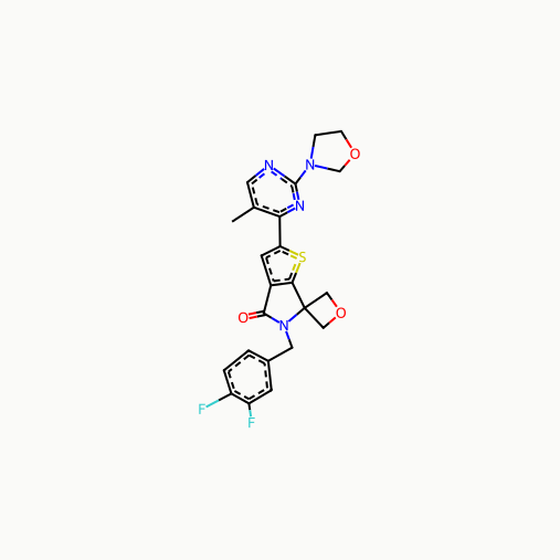 Cc1cnc(N2CCOC2)nc1-c1cc2c(s1)C1(COC1)N(Cc1ccc(F)c(F)c1)C2=O